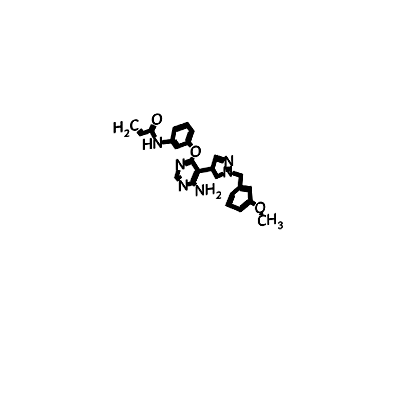 C=CC(=O)Nc1cccc(Oc2ncnc(N)c2C2C=NN(Cc3cccc(OC)c3)C2)c1